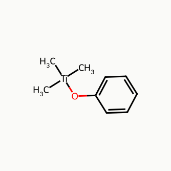 [CH3][Ti]([CH3])([CH3])[O]c1ccccc1